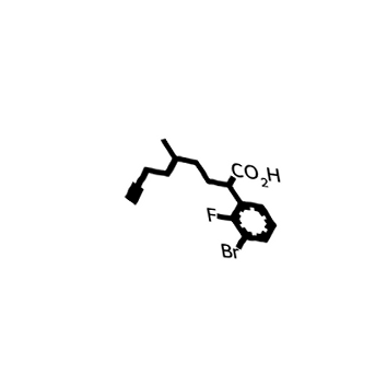 C#CCCC(C)CCC(C(=O)O)c1cccc(Br)c1F